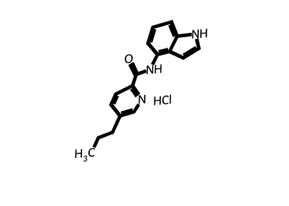 CCCc1ccc(C(=O)Nc2cccc3[nH]ccc23)nc1.Cl